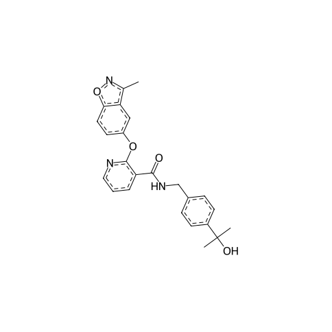 Cc1noc2ccc(Oc3ncccc3C(=O)NCc3ccc(C(C)(C)O)cc3)cc12